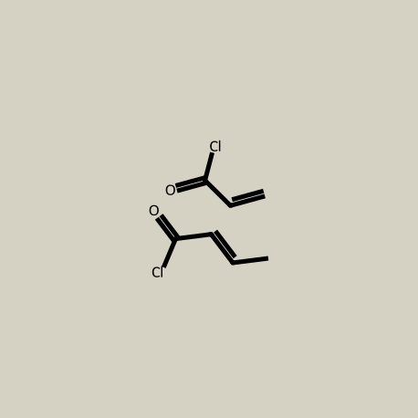 C=CC(=O)Cl.CC=CC(=O)Cl